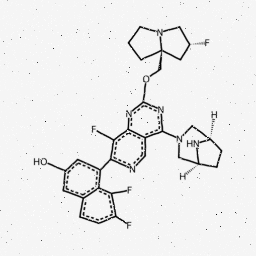 Oc1cc(-c2ncc3c(N4C[C@H]5CC[C@@H](C4)N5)nc(OC[C@@]45CCCN4C[C@H](F)C5)nc3c2F)c2c(F)c(F)ccc2c1